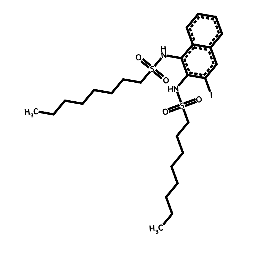 CCCCCCCCS(=O)(=O)Nc1c(I)cc2ccccc2c1NS(=O)(=O)CCCCCCCC